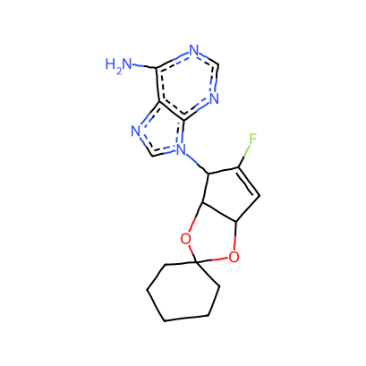 Nc1ncnc2c1ncn2C1C(F)=CC2OC3(CCCCC3)OC21